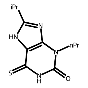 CCCn1c(=O)[nH]c(=S)c2[nH]c(C(C)C)nc21